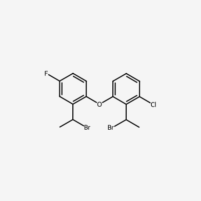 CC(Br)c1cc(F)ccc1Oc1cccc(Cl)c1C(C)Br